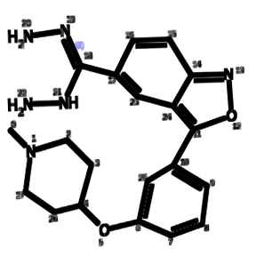 CN1CCC(Oc2cccc(-c3onc4ccc(/C(=N/N)NN)cc34)c2)CC1